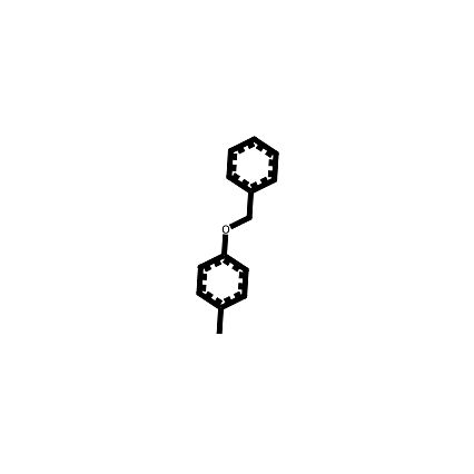 Cc1c[c]c(OCc2ccccc2)cc1